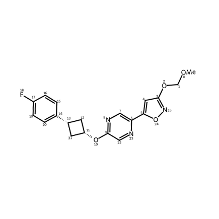 COCOc1cc(-c2cnc(O[C@H]3C[C@@H](c4ccc(F)cc4)C3)cn2)on1